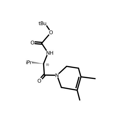 CC1=C(C)CN(C(=O)[C@@H](NC(=O)OC(C)(C)C)C(C)C)CC1